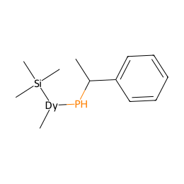 CC([PH][Dy]([CH3])[Si](C)(C)C)c1ccccc1